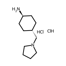 Cl.Cl.N[C@H]1CC[C@H](CN2CCCC2)CC1